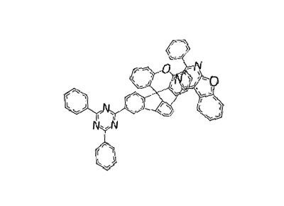 c1ccc(-c2nc(-c3ccccc3)nc(-c3ccc4c(c3)-c3cccc(-c5nc(-c6ccccc6)nc6oc7ccccc7c56)c3C43c4ccccc4Oc4ccccc43)n2)cc1